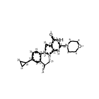 O=c1[nH]c(N2CCOCC2)nc2nn(-c3ccc(C4CC4)cc3C(F)F)cc12